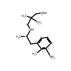 COCC(C)(C)CN[C@H](C)Cc1cccc(N)c1C